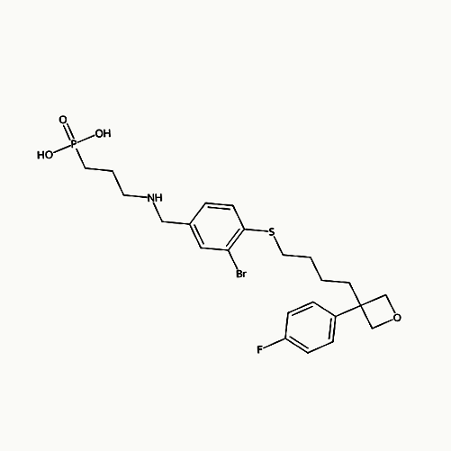 O=P(O)(O)CCCNCc1ccc(SCCCCC2(c3ccc(F)cc3)COC2)c(Br)c1